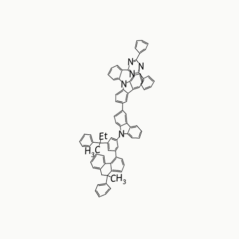 CCC(C)(c1ccccc1)c1cc(-c2cccc3c2-c2ccccc2CC3(C)c2ccccc2)cc(-n2c3ccccc3c3cc(-c4ccc5c(c4)c4ccccc4n5-c4ccccc4-c4nc(-c5ccccc5)nc(-c5ccccc5)n4)ccc32)c1